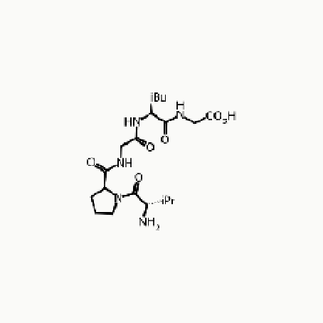 CC[C@H](C)[C@H](NC(=O)CNC(=O)[C@@H]1CCCN1C(=O)[C@@H](N)C(C)C)C(=O)NCC(=O)O